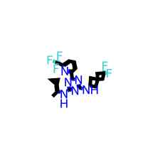 CC(Nc1nc(NC2CC3(C2)CC(F)(F)C3)nc(-c2cccc(C(F)(F)F)n2)n1)=C1CC1